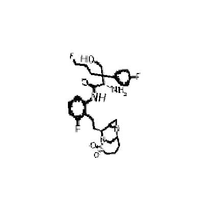 N[C@H](C(=O)Nc1cccc(F)c1CC[C@H]1C2CN2C2CCCS(=O)(=O)N1C2)C(CO)(CCCF)c1ccc(F)cc1